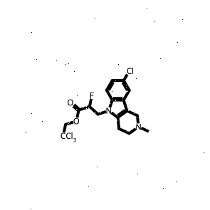 CN1CCc2c(c3cc(Cl)ccc3n2CC(F)C(=O)OCC(Cl)(Cl)Cl)C1